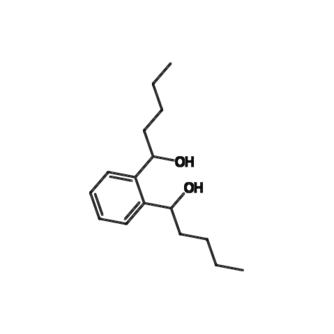 CCCCC(O)c1ccccc1C(O)CCCC